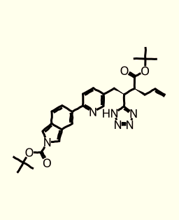 C=CC[C@H](C(=O)OC(C)(C)C)[C@H](Cc1ccc(-c2ccc3cn(C(=O)OC(C)(C)C)cc3c2)nc1)c1nnn[nH]1